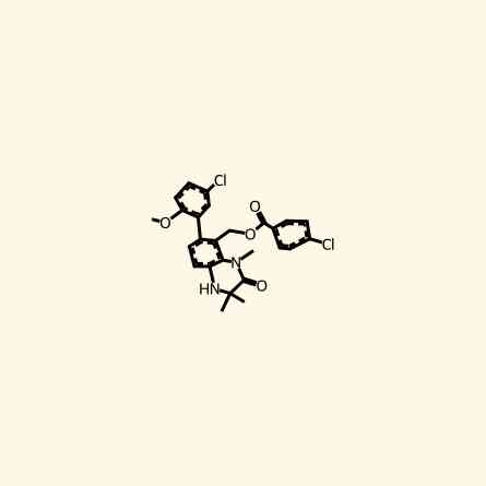 COc1ccc(Cl)cc1-c1ccc2c(c1COC(=O)c1ccc(Cl)cc1)N(C)C(=O)C(C)(C)N2